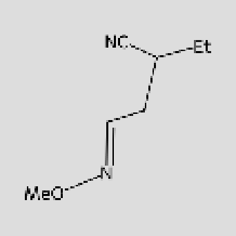 CCC(C#N)CC=NOC